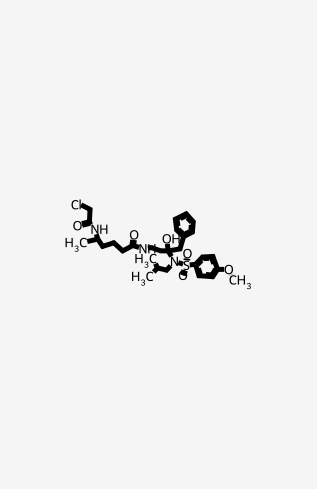 COc1ccc(S(=O)(=O)N(CC(C)C)C(O)(CCNC(=O)CCCC(C)NC(=O)CCl)Cc2ccccc2)cc1